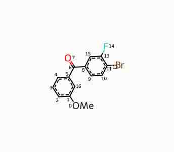 COc1cccc(C(=O)c2ccc(Br)c(F)c2)c1